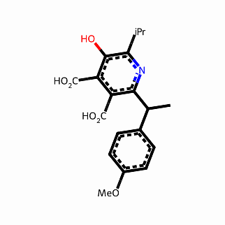 COc1ccc(C(C)c2nc(C(C)C)c(O)c(C(=O)O)c2C(=O)O)cc1